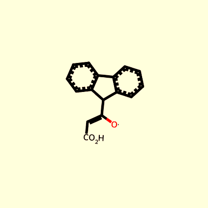 [O]C(=CC(=O)O)C1c2ccccc2-c2ccccc21